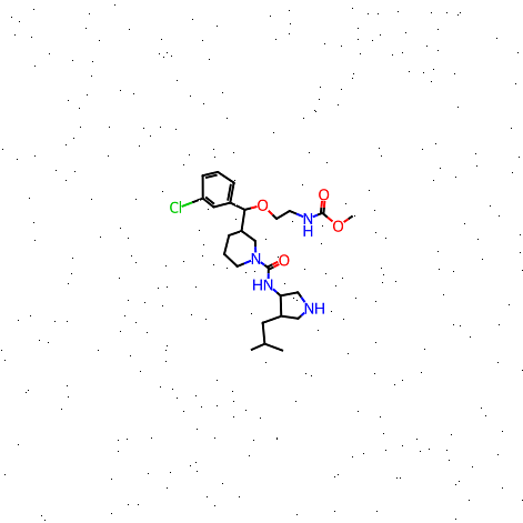 COC(=O)NCCOC(c1cccc(Cl)c1)C1CCCN(C(=O)NC2CNCC2CC(C)C)C1